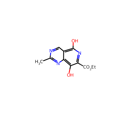 CCOC(=O)c1nc(O)c2cnc(C)nc2c1O